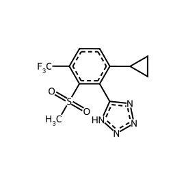 CS(=O)(=O)c1c(C(F)(F)F)ccc(C2CC2)c1-c1nnn[nH]1